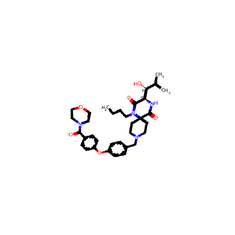 CCCCN1C(=O)[C@@H]([C@H](O)C(C)C)NC(=O)C12CCN(Cc1ccc(Oc3ccc(C(=O)N4CCOCC4)cc3)cc1)CC2